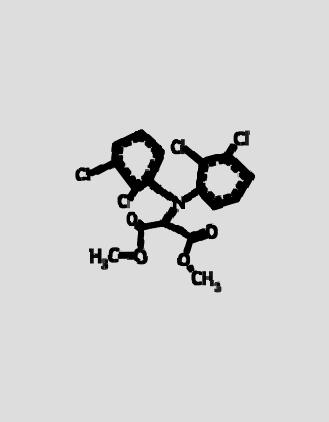 COC(=O)C(C(=O)OC)N(c1cccc(Cl)c1Cl)c1cccc(Cl)c1Cl